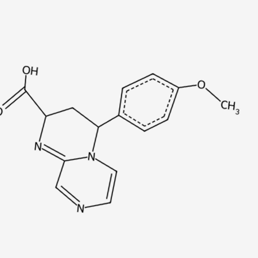 COc1ccc(C2CC(C(=O)O)N=C3C=NC=CN32)cc1